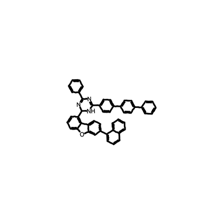 c1ccc(C2=NC(c3cccc4oc5cc(-c6cccc7ccccc67)ccc5c34)NC(c3ccc(-c4ccc(-c5ccccc5)cc4)cc3)=N2)cc1